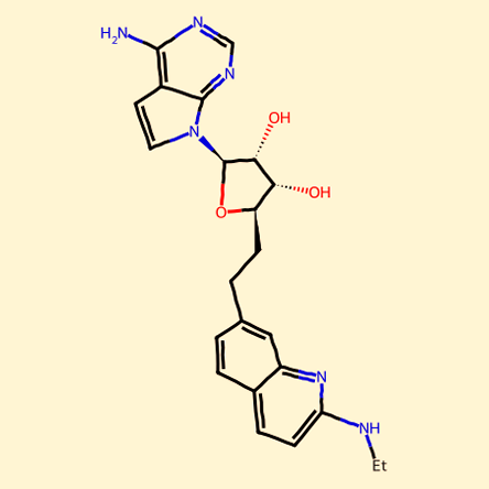 CCNc1ccc2ccc(CC[C@H]3O[C@@H](n4ccc5c(N)ncnc54)[C@H](O)[C@@H]3O)cc2n1